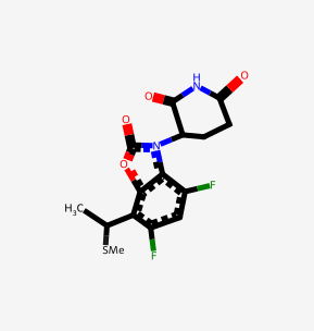 CSC(C)c1c(F)cc(F)c2c1oc(=O)n2C1CCC(=O)NC1=O